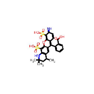 CC1CC(C)(C)Nc2c1cc1c(-c3ccccc3C(=O)O)c3ccc(=N)c(S(=O)(=O)O)c-3oc1c2S(=O)(=O)O